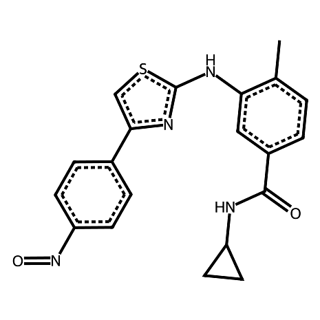 Cc1ccc(C(=O)NC2CC2)cc1Nc1nc(-c2ccc(N=O)cc2)cs1